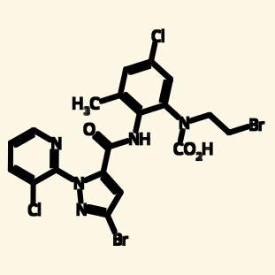 Cc1cc(Cl)cc(N(CCBr)C(=O)O)c1NC(=O)c1cc(Br)nn1-c1ncccc1Cl